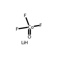 [LiH].[O]=[Co]([F])([F])[F]